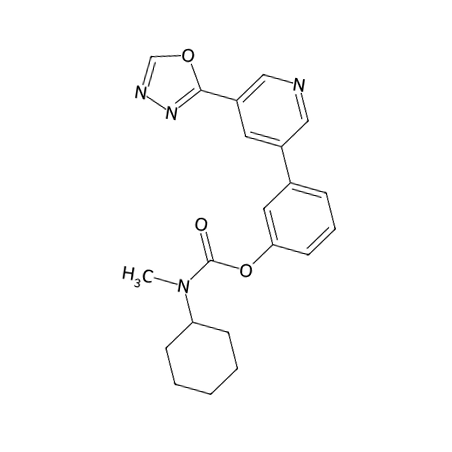 CN(C(=O)Oc1cccc(-c2cncc(-c3nnco3)c2)c1)C1CCCCC1